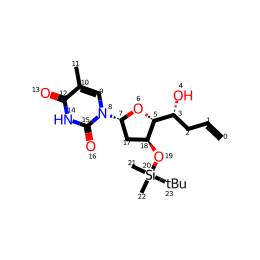 C=CC[C@@H](O)[C@H]1O[C@@H](n2cc(C)c(=O)[nH]c2=O)C[C@@H]1O[Si](C)(C)C(C)(C)C